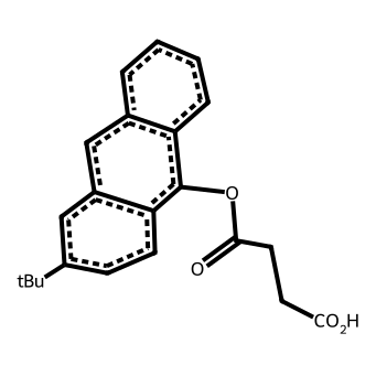 CC(C)(C)c1ccc2c(OC(=O)CCC(=O)O)c3ccccc3cc2c1